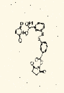 O=C(ON1C(=O)CCC1=O)c1cccc(SSc2cccc(C(O)ON3C(=O)CCC3=O)c2)c1